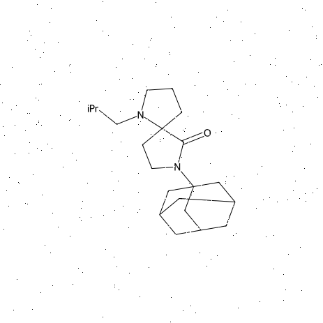 CC(C)CN1CCCC12CCN(C13CC4CC(CC(C4)C1)C3)C2=O